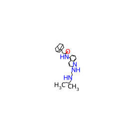 CCC(C)CNCCNc1ccc2c(NC(=O)CC34CC5CC(CC(C5)C3)C4)cccc2n1